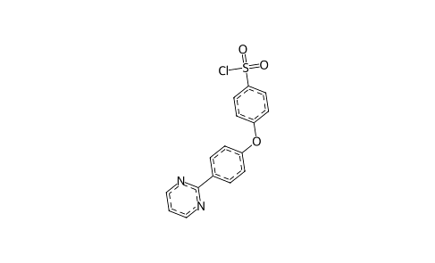 O=S(=O)(Cl)c1ccc(Oc2ccc(-c3ncccn3)cc2)cc1